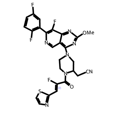 COc1nc(N2CCN(C(=O)/C(F)=C/c3nccs3)C(CC#N)C2)c2cnc(-c3cc(F)ccc3F)c(F)c2n1